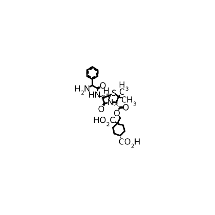 CC1(C)S[C@@H]2[C@H](NC(=O)C(N)c3ccccc3)C(=O)N2[C@H]1C(=O)OC[C@]1(C(=O)O)CC[C@H](C(=O)O)CC1